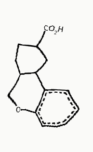 O=C(O)C1CCC2COc3ccccc3C2C1